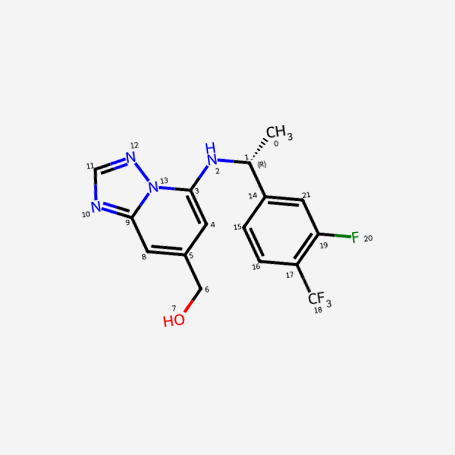 C[C@@H](Nc1cc(CO)cc2ncnn12)c1ccc(C(F)(F)F)c(F)c1